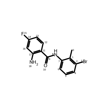 Cc1c(Br)cccc1NC(=O)c1ccc(F)cc1N